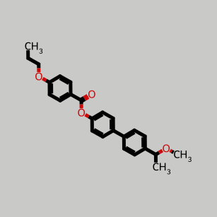 CCCOc1ccc(C(=O)Oc2ccc(-c3ccc(C(C)OC)cc3)cc2)cc1